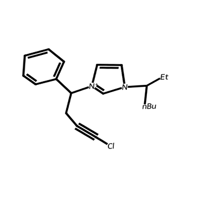 CCCCC(CC)n1cc[n+](C(CC#CCl)c2ccccc2)c1